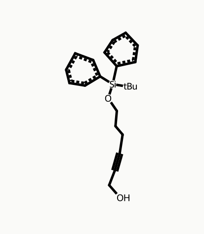 CC(C)(C)[Si](OCCCC#CCO)(c1ccccc1)c1ccccc1